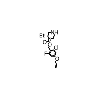 C=CCOc1cc(F)c(COC(=O)N2CCNC[C@H]2CC)c(Cl)c1